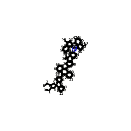 CCCCC1(CCCC)c2ccccc2-c2cc(-c3c4ccccc4c(-c4ccc5c(c4)C(C)(C)c4cc(N(c6ccc(C)c7ccccc67)c6ccc(C)c7ccccc67)ccc4-5)c4ccccc34)ccc21